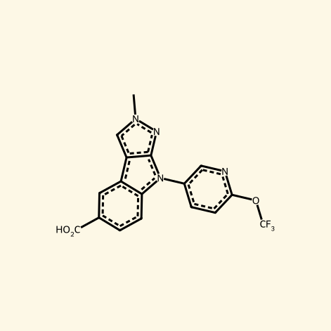 Cn1cc2c3cc(C(=O)O)ccc3n(-c3ccc(OC(F)(F)F)nc3)c2n1